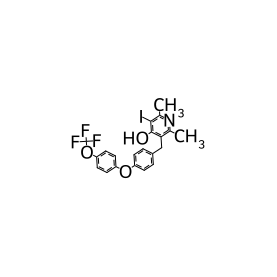 Cc1nc(C)c(Cc2ccc(Oc3ccc(OC(F)(F)F)cc3)cc2)c(O)c1I